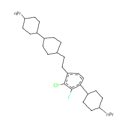 CCCC1CCC(c2ccc(CCC3CCC(C4CCC(CCC)CC4)CC3)c(Cl)c2F)CC1